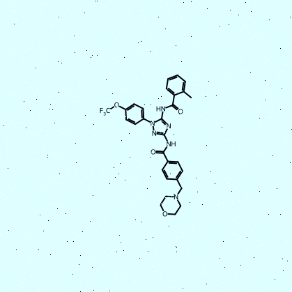 Cc1ccccc1C(=O)Nc1nc(NC(=O)c2ccc(CN3CCOCC3)cc2)nn1-c1ccc(OC(F)(F)F)cc1